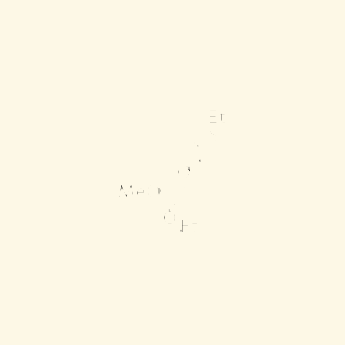 CCOC(COCCSCC)OC